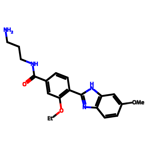 CCOc1cc(C(=O)NCCCN)ccc1-c1nc2ccc(OC)cc2[nH]1